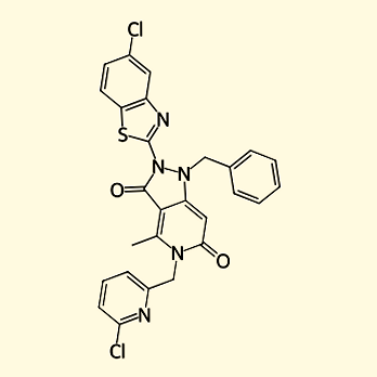 Cc1c2c(=O)n(-c3nc4cc(Cl)ccc4s3)n(Cc3ccccc3)c2cc(=O)n1Cc1cccc(Cl)n1